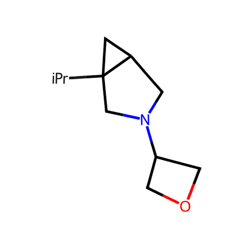 CC(C)C12CC1CN(C1COC1)C2